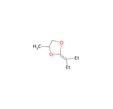 CCC(CC)=C1OCC(C)O1